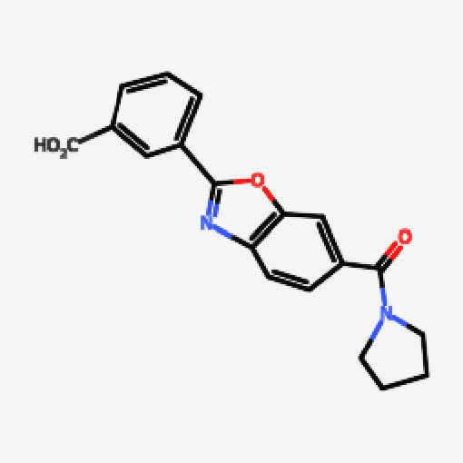 O=C(O)c1cccc(-c2nc3ccc(C(=O)N4CCCC4)cc3o2)c1